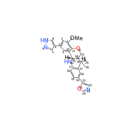 COc1cc(-c2cn[nH]c2)cc2c1OC[C@@H]1[C@@H]2Nc2ccc(-c3cnco3)cc2C1(C)C